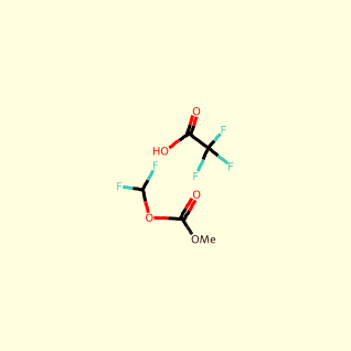 COC(=O)OC(F)F.O=C(O)C(F)(F)F